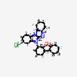 Brc1ccc2c(c1)n(-c1cccc3c1oc1ccccc13)c1nc3ccccc3n21